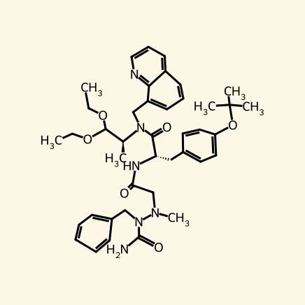 CCOC(OCC)[C@H](C)N(Cc1cccc2cccnc12)C(=O)[C@H](Cc1ccc(OC(C)(C)C)cc1)NC(=O)CN(C)N(Cc1ccccc1)C(N)=O